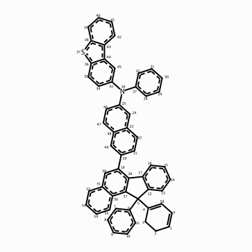 C1=CCCC(C2(c3ccccc3)c3ccccc3-c3c(-c4ccc5cc(N(c6ccccc6)c6ccc7sc8ccccc8c7c6)ccc5c4)cc4ccccc4c32)=C1